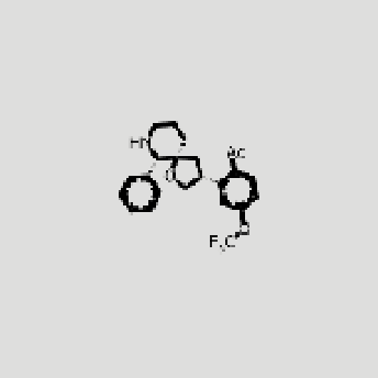 CC(=O)c1ccc(OC(F)(F)F)cc1[C@@H]1CO[C@]2(CCCN[C@H]2c2ccccc2)C1